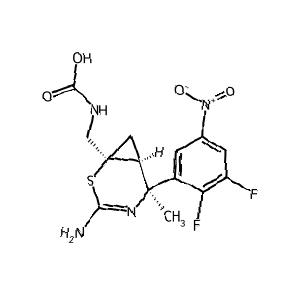 C[C@]1(c2cc([N+](=O)[O-])cc(F)c2F)N=C(N)S[C@@]2(CNC(=O)O)C[C@H]21